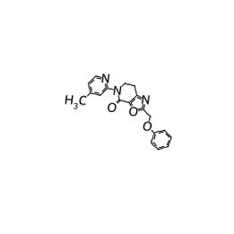 Cc1ccnc(N2CCc3nc(COc4ccccc4)oc3C2=O)c1